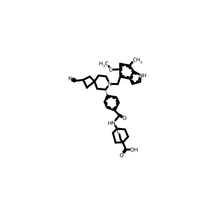 COc1cc(C)c2[nH]ccc2c1CN1CCC2(CC(C#N)C2)C[C@H]1c1ccc(C(=O)NC23CCC(C(=O)O)(CC2)CC3)cc1